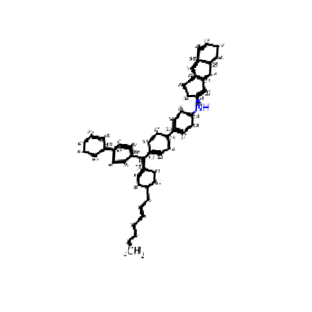 C=CCCCCCC1CC=C(C(C2=CCC(C3=CCC(NC4=CC5CC6CCC=CC6=CC5CC4)CC3)CC2)C2C=CC(C3C=CCCC3)CC2)CC1